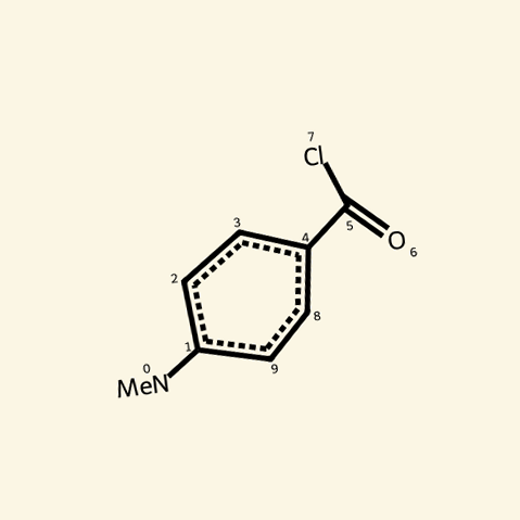 CNc1ccc(C(=O)Cl)cc1